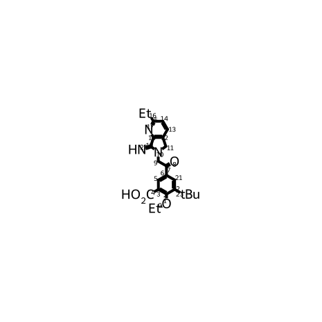 CCOc1c(C(=O)O)cc(C(=O)CN2Cc3ccc(CC)nc3C2=N)cc1C(C)(C)C